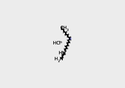 CCCCCCCC/C=C\CCCCCCCCNCCCN.Cl